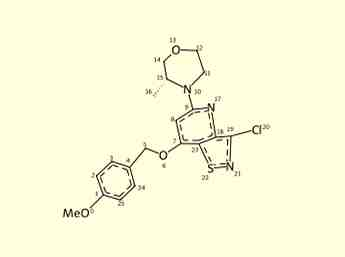 COc1ccc(COc2cc(N3CCOC[C@H]3C)nc3c(Cl)nsc23)cc1